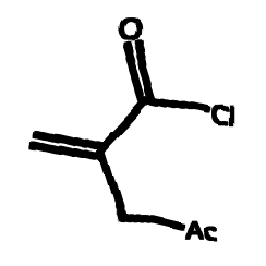 C=C(CC(C)=O)C(=O)Cl